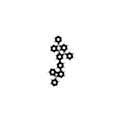 c1ccc(N2c3ccccc3B3c4ccc(-c5ccc(-c6cccc7c6c6ccccc6n7-c6ccccc6)cc5)cc4N(c4ccccc4)c4cccc2c43)cc1